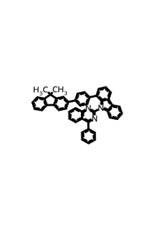 CC1(C)c2ccccc2-c2ccc(-c3ccc(-c4cccc5c6ccccc6n(-c6nc(-c7ccccc7)c7ccccc7n6)c45)cc3)cc21